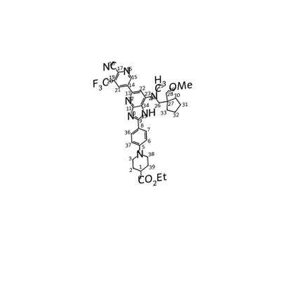 CCOC(=O)C1CCN(c2ccc(-c3nc4nc(-c5cnc(C#N)c(C(F)(F)F)c5)cc(N(C)CC5(COC)CCCC5)c4[nH]3)cc2)CC1